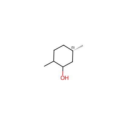 CC1CC[C@H](C)CC1O